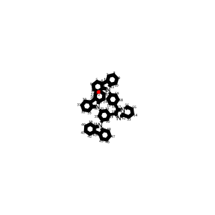 c1ccc2c(c1)c1ccccc1n2-c1ccc(-c2c(-c3cc(-n4c5ccccc5c5ccccc54)cc(-n4c5ccccc5c5ccccc54)c3)nc3ccccn23)cc1